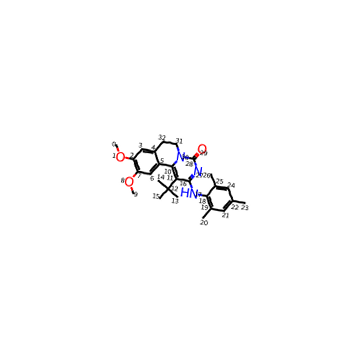 COc1cc2c(cc1OC)-c1c(C(C)(C)C)c(Nc3c(C)cc(C)cc3C)nc(=O)n1CC2